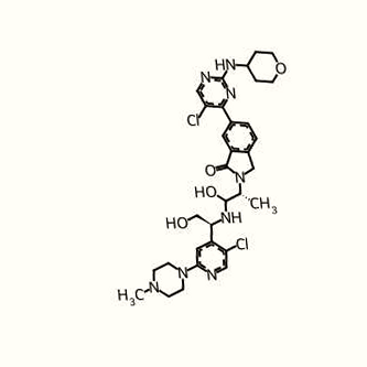 C[C@H](C(O)N[C@H](CO)c1cc(N2CCN(C)CC2)ncc1Cl)N1Cc2ccc(-c3nc(NC4CCOCC4)ncc3Cl)cc2C1=O